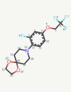 Fc1cc(OCC(F)(F)F)ccc1N1CCC2(CC1)OCCO2